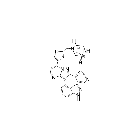 c1cc(-c2c(-c3ccncc3)nn3c(-c4coc(CN5C[C@@H]6C[C@H]5CN6)c4)ccnc23)c2cn[nH]c2c1